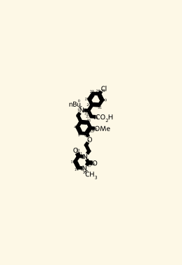 CCCCN(Cc1ccc(OCCn2c(=O)ccn(C)c2=O)c(OC)c1)C(CC(=O)O)c1ccc(Cl)cc1